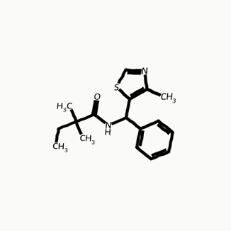 CCC(C)(C)C(=O)NC(c1ccccc1)c1scnc1C